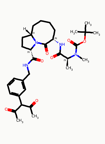 CC(=O)C(C(C)=O)c1cccc(CNC(=O)[C@@H]2CC[C@@H]3CCCC[C@H](NC(=O)[C@H](C)N(C)C(=O)OC(C)(C)C)C(=O)N32)c1